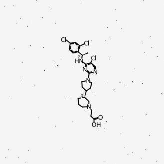 C[C@@H](Nc1nc(N2CCC([C@@H]3CCCN(CCC(=O)O)C3)CC2)ncc1Cl)c1ccc(Cl)cc1Cl